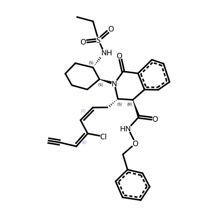 C#C/C=C(Cl)\C=C/C[C@H]1[C@H](C(=O)NOCc2ccccc2)c2ccccc2C(=O)N1[C@H]1CCCC[C@@H]1NS(=O)(=O)CC